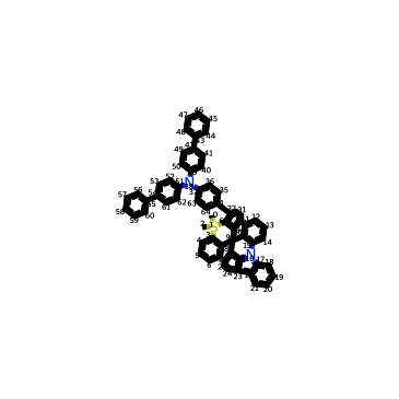 CS1(C)c2ccccc2C2(c3ccccc3-n3c4ccccc4c4cccc2c43)c2cccc(-c3ccc(N(c4ccc(-c5ccccc5)cc4)c4ccc(-c5ccccc5)cc4)cc3)c21